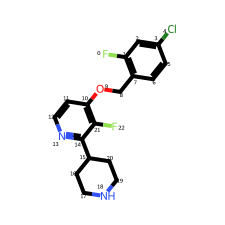 Fc1cc(Cl)ccc1COc1ccnc(C2CCNCC2)c1F